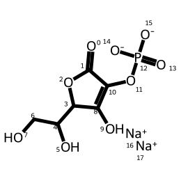 O=C1OC(C(O)CO)C(O)=C1OP(=O)([O-])[O-].[Na+].[Na+]